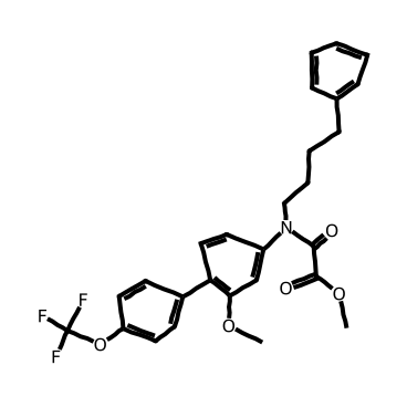 COC(=O)C(=O)N(CCCCc1ccccc1)c1ccc(-c2ccc(OC(F)(F)F)cc2)c(OC)c1